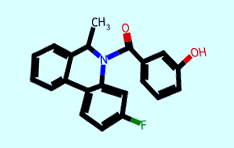 CC1c2ccccc2-c2ccc(F)cc2N1C(=O)c1cccc(O)c1